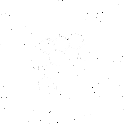 CCC(CN)NC(=O)c1cccc2nc3cccc(OC)c3nc12